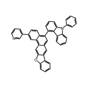 c1ccc(-n2c3ccccc3c3c(-c4cc5cc6c(cc5c5cc(-c7cccnc7)ccc45)oc4ccccc46)cccc32)cc1